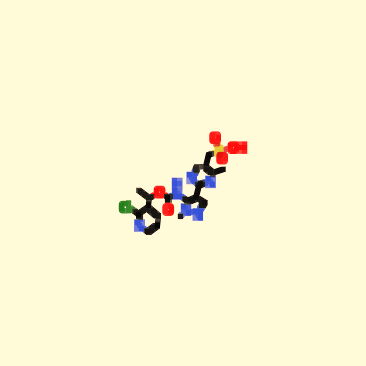 Cc1nc(-c2cnn(C)c2NC(=O)OC(C)c2cccnc2Cl)ncc1CS(=O)(=O)O